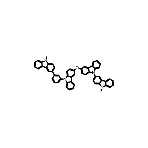 Cn1c2ccccc2c2cc(-c3cccc(-n4c5ccccc5c5cc(Oc6ccc7c(c6)c6ccccc6n7-c6ccc7c(c6)c6ccccc6n7C)ccc54)c3)ccc21